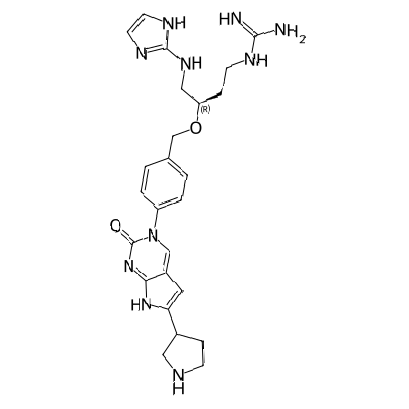 N=C(N)NCC[C@H](CNc1ncc[nH]1)OCc1ccc(-n2cc3cc(C4CCNC4)[nH]c3nc2=O)cc1